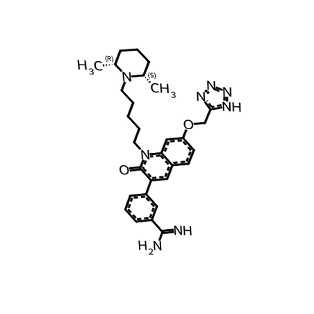 C[C@@H]1CCC[C@H](C)N1CCCCCn1c(=O)c(-c2cccc(C(=N)N)c2)cc2ccc(OCc3nnn[nH]3)cc21